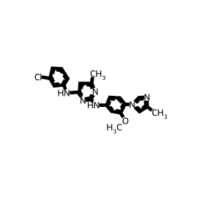 COc1cc(Nc2nc(C)cc(Nc3cccc(Cl)c3)n2)ccc1-n1cnc(C)c1